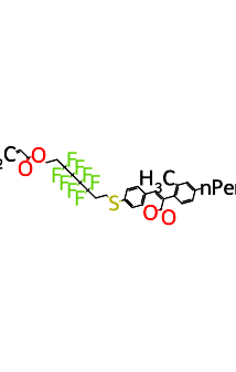 C=CC(=O)OCCC(F)(F)C(F)(F)C(F)(F)C(F)(F)CCSc1ccc2cc(-c3ccc(CCCCC)cc3C)c(=O)oc2c1